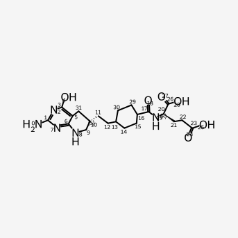 Nc1nc(O)c2c(n1)NC[C@@H](CCC1CCC(C(=O)N[C@H](CCC(=O)O)C(=O)O)CC1)C2